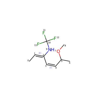 C/C=C(\C=C/C(C)OC)NC(F)(F)F